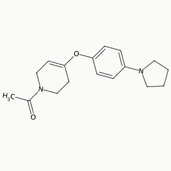 CC(=O)N1CC=C(Oc2ccc(N3CCCC3)cc2)CC1